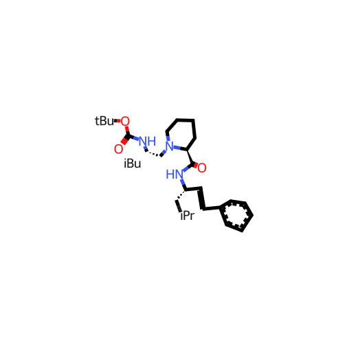 CC[C@H](C)[C@@H](CN1CCCC[C@H]1C(=O)N[C@H](/C=C/c1ccccc1)CC(C)C)NC(=O)OC(C)(C)C